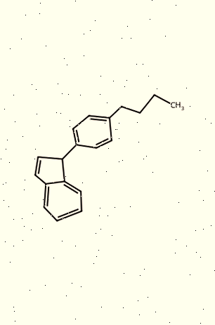 CCCCc1ccc(C2C=Cc3ccccc32)cc1